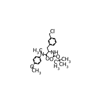 COc1ccc(N(C)C(=O)C(Cc2cccc(CCl)c2)NC(=O)OC(C)(C)C)cc1